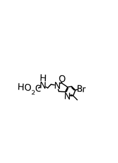 Cc1nc2c(cc1Br)C(=O)N(CCNC(=O)O)C2